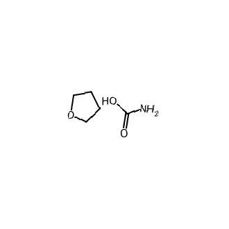 C1CCOC1.NC(=O)O